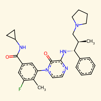 Cc1c(F)cc(C(=O)NC2CC2)cc1-n1ccnc(N[C@@H](c2ccccc2)[C@H](C)CN2CCCC2)c1=O